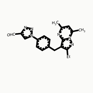 CCc1nn2c(C)cc(C)nc2c1Cc1ccc(-n2cc(C=O)nn2)cc1